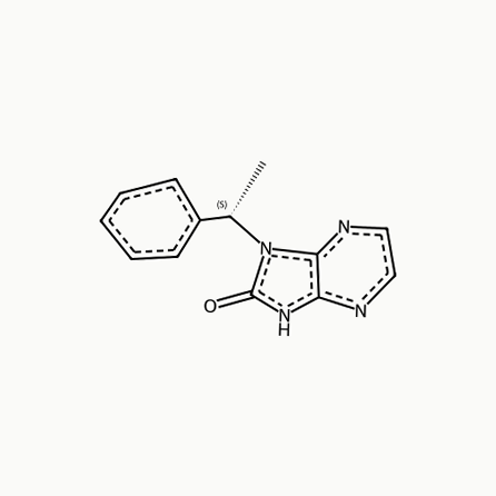 C[C@@H](c1ccccc1)n1c(=O)[nH]c2nccnc21